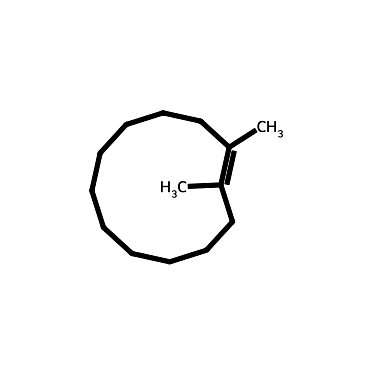 C/C1=C(/C)CCCCCCCCCC1